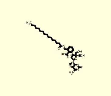 C#C[C@]1(CO)O[C@@H](N2C=NC3C(N)=NC(F)=NC32)C[C@H]1c1cccc(COC(=O)CCCCCCCCCCCCCCC)c1C(=O)O